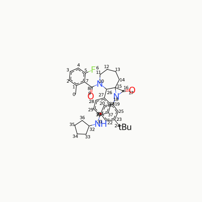 Cc1cccc(F)c1C(=O)N1CCCCC2(C(=O)N2c2cccc(C(C)(C)C)c2)C1c1ccc(NC2CCCC2)cc1